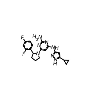 Nc1nc(Nc2cc(C3CC3)[nH]n2)cc(N2CCCC2c2ccc(F)cc2F)n1